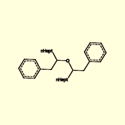 CCCCCCCC(Cc1ccccc1)OC(CCCCCCC)Cc1ccccc1